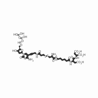 Nc1nc(=O)n([C@H]2CC(O)[C@@H](COPOP(O)OP(O)O)O2)cc1C#CCNC(=O)CCSSCC(N)C(=O)NCCCCCC(=O)NC(CC(=O)O)C(=O)NC(CC(=O)O)C(=O)O